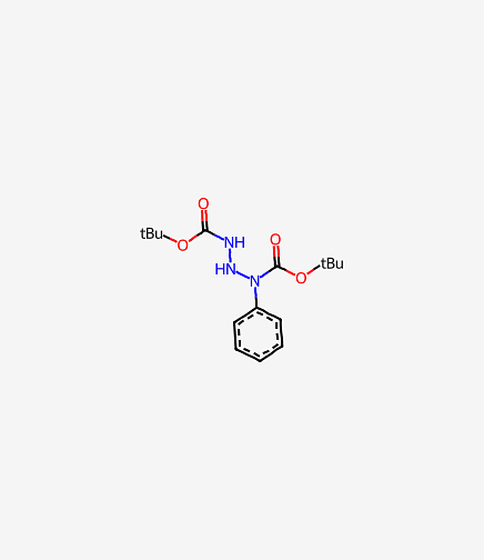 CC(C)(C)OC(=O)NNN(C(=O)OC(C)(C)C)c1ccccc1